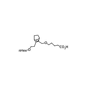 CCCCCCOCCC1C2CCC(O2)C1COCCCCC(=O)O